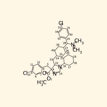 COC(=O)C1(Cc2ccc(Cl)cc2)N=CN(C2CCCCC2)C1CC1CCC(C(c2ccc(Cl)cc2)N(C)C)CC1